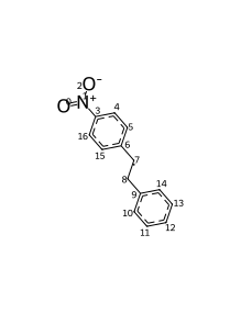 O=[N+]([O-])c1ccc([CH]Cc2ccccc2)cc1